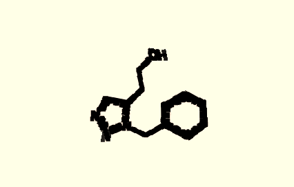 OCCc1cnnn1Cc1ccccc1